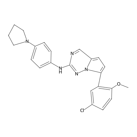 COc1ccc(Cl)cc1-c1ccc2cnc(Nc3ccc(N4CCCC4)cc3)nn12